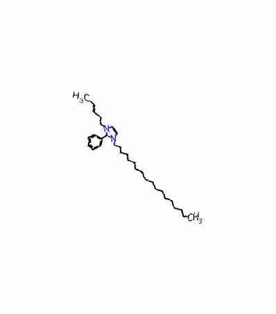 CCCCCCCCCCCCCCCCCCN1C=CN(CCCCC)C1c1ccccc1